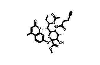 C#CCCC(=O)N[C@H]1C([C@H](C)[C@@H](CC)OC(C)=O)O[C@@](Oc2ccc3c(C)cc(=O)oc3c2)(C(=O)OC)C(O)[C@H]1C